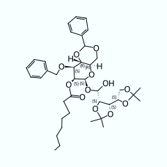 CCCCCCCC(=O)O[C@@H]1[C@H](OC(O)[C@H]2OC(C)(C)O[C@H]2[C@@H]2COC(C)(C)O2)O[C@@H]2COC(c3ccccc3)O[C@H]2[C@@H]1OCc1ccccc1